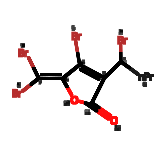 CCCC(Br)C1=C(Br)C(=C(Br)Br)OC1=O